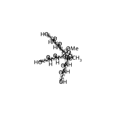 COCC1OC(CC(C)O)C(OCCCNC(=O)CCNC(=O)CCCCO)C(OCCCNC(=O)CCNC(=O)CCCCO)C1OCCCNC(=O)CCNC(=O)CCCCO